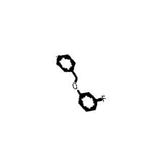 Fc1cccc(OCc2cc[c]cc2)c1